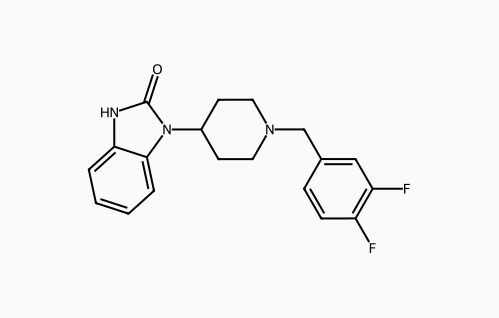 O=c1[nH]c2ccccc2n1C1CCN(Cc2ccc(F)c(F)c2)CC1